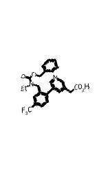 CCN(Cc1cc(C(F)(F)F)ccc1-c1cncc(CC(=O)O)c1)C(=O)OCc1ccccc1